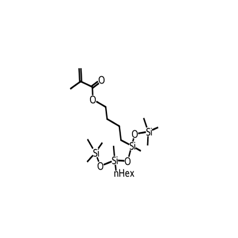 C=C(C)C(=O)OCCCC[Si](C)(O[Si](C)(C)C)O[Si](C)(CCCCCC)O[Si](C)(C)C